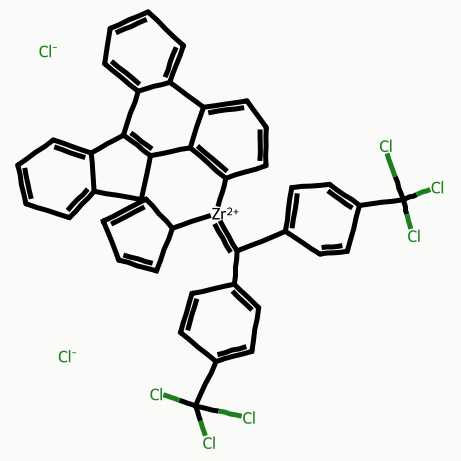 ClC(Cl)(Cl)c1ccc([C](c2ccc(C(Cl)(Cl)Cl)cc2)=[Zr+2]([c]2cccc3c2c2c(c4ccccc43)-c3ccccc3C2)[CH]2C=CC=C2)cc1.[Cl-].[Cl-]